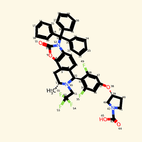 C[C@@H]1Cc2c(ccc3c2oc(=O)n3C(c2ccccc2)(c2ccccc2)c2ccccc2)[C@@H](c2c(F)cc(O[C@@H]3CCN(C(=O)O)C3)cc2F)N1CC(F)(F)F